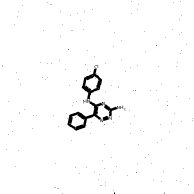 Nc1nnc(-c2ccccc2)c(Nc2ccc(Cl)cc2)n1